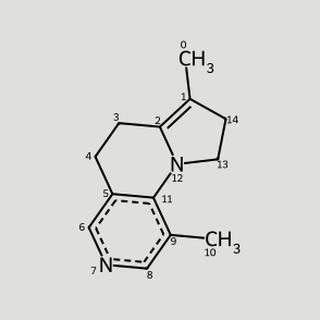 CC1=C2CCc3cncc(C)c3N2CC1